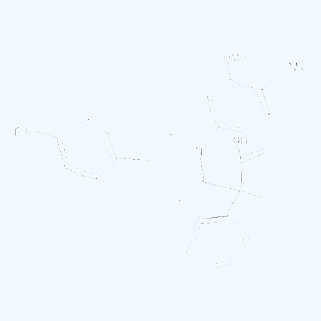 COc1ccc(N(CCc2ccc(C(F)(F)F)cc2)C(=O)C(C)(C(N)=O)c2ccccc2)cc1OC